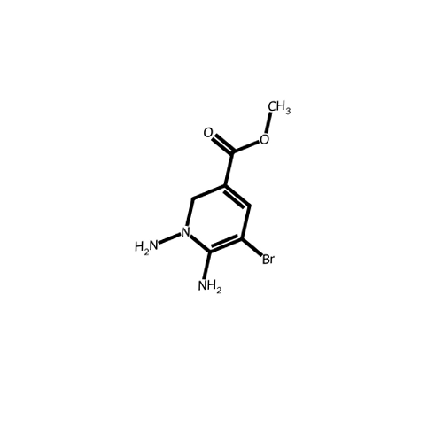 COC(=O)C1=CC(Br)=C(N)N(N)C1